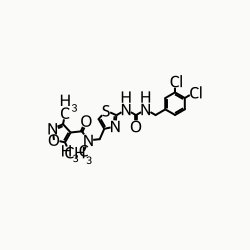 Cc1noc(C)c1C(=O)N(C)Cc1csc(NC(=O)NCc2ccc(Cl)c(Cl)c2)n1